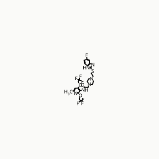 Cc1cc(OCC(F)(F)F)c(NC(=O)CN2CCN(CCSc3nc4cc(F)ccc4[nH]3)CC2)c(OCC(F)(F)F)n1